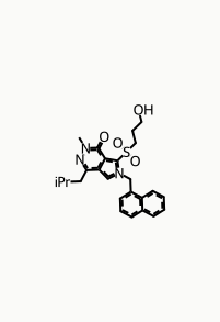 CC(C)Cc1nn(C)c(=O)c2c(S(=O)(=O)CCCO)n(Cc3cccc4ccccc34)cc12